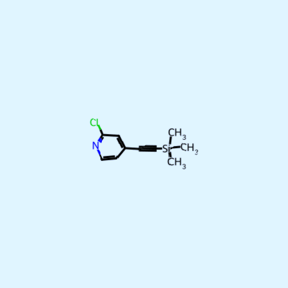 C[Si](C)(C)C#Cc1ccnc(Cl)c1